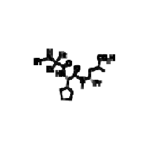 CCC(CC)(NC(C)C)C(=O)N[C@H](C(=O)N(C)[C@H](/C=C(\C)C(=O)O)C(C)C)C1CCCC1